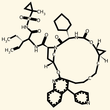 C=C[C@H](CC)C(NC(=O)[C@@H]1C[C@@H]2CN1C(=O)[C@H](C1CCCCC1)NC(=O)O[C@@H]1C[C@H]1CCCCCc1c(nc3ccccc3c1-c1ccncc1)O2)C(=O)NS(=O)(=O)C1(C)CC1